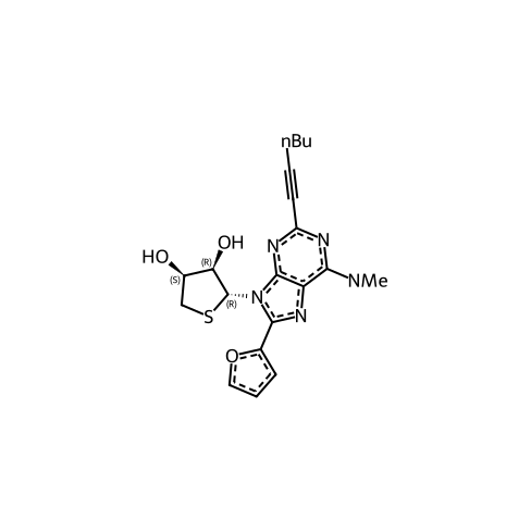 CCCCC#Cc1nc(NC)c2nc(-c3ccco3)n([C@@H]3SC[C@@H](O)[C@H]3O)c2n1